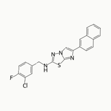 Fc1ccc(CNc2nn3cc(-c4ccc5ccccc5c4)nc3s2)cc1Cl